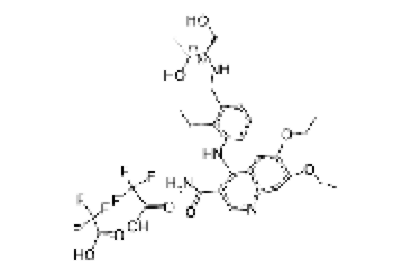 CCOc1cc2ncc(C(N)=O)c(Nc3cccc(CN[C@H](CO)[C@@H](C)O)c3CC)c2cc1OCC.O=C(O)C(F)(F)F.O=C(O)C(F)(F)F